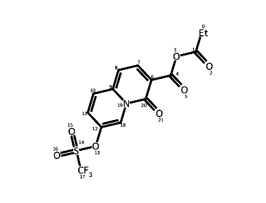 CCC(=O)OC(=O)c1ccc2ccc(OS(=O)(=O)C(F)(F)F)cn2c1=O